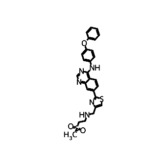 CS(=O)(=O)CCNCc1csc(-c2ccc3c(Nc4ccc(Oc5ccccc5)cc4)ncnc3c2)n1